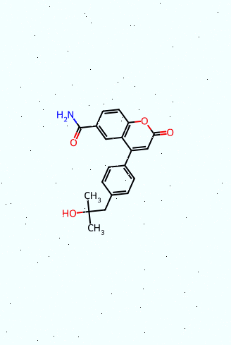 CC(C)(O)Cc1ccc(-c2cc(=O)oc3ccc(C(N)=O)cc23)cc1